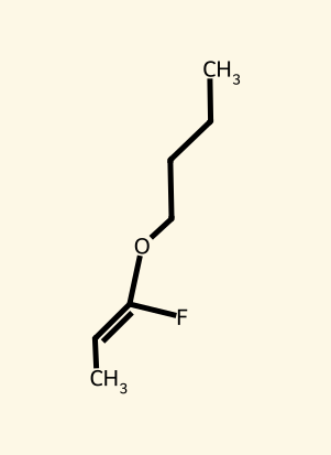 CC=C(F)OCCCC